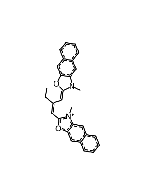 CCC(=Cc1oc2cc3ccccc3cc2[n+]1C)C=C1Oc2cc3ccccc3cc2N1C